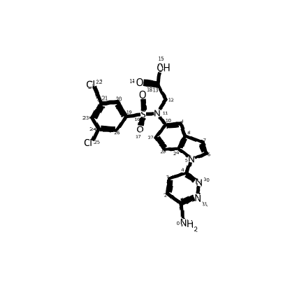 Nc1ccc(-n2ccc3cc(N(CC(=O)O)S(=O)(=O)c4cc(Cl)cc(Cl)c4)ccc32)nn1